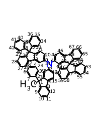 CC1(c2ccccc2)c2ccccc2-c2ccc(N(c3ccc4c(c3)-c3ccccc3C4(c3ccccc3)c3ccccc3)c3ccc4c(c3)C3(c5ccccc5-c5ccccc53)c3ccccc3-4)cc21